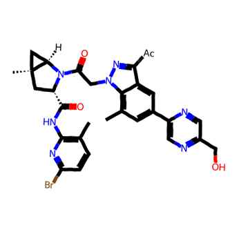 CC(=O)c1nn(CC(=O)N2[C@H](C(=O)Nc3nc(Br)ccc3C)C[C@@]3(C)C[C@@H]23)c2c(C)cc(-c3cnc(CO)cn3)cc12